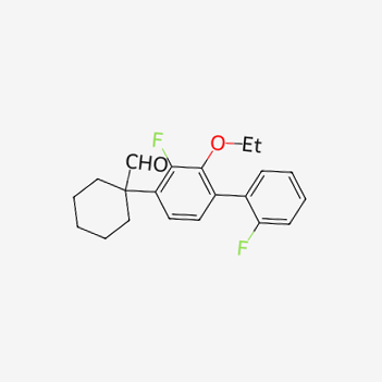 CCOc1c(-c2ccccc2F)ccc(C2(C=O)CCCCC2)c1F